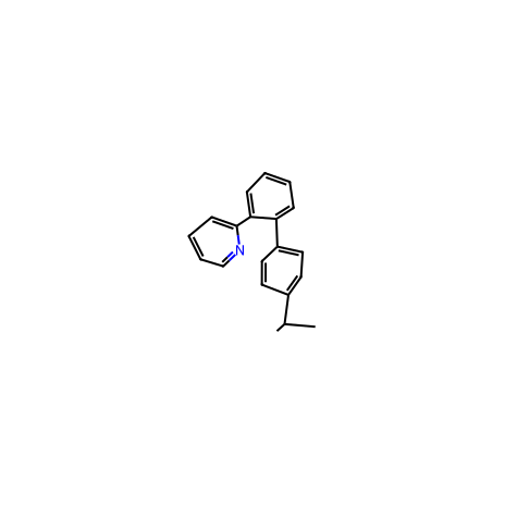 CC(C)c1ccc(-c2ccccc2-c2ccccn2)cc1